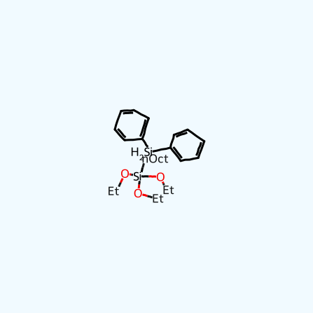 CCCCCCCC[Si](OCC)(OCC)OCC.c1ccc([SiH2]c2ccccc2)cc1